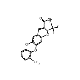 Cc1ccccc1Oc1cc2c(cc1Cl)C=C(C(=O)O)[C@@H](C(F)(F)F)O2